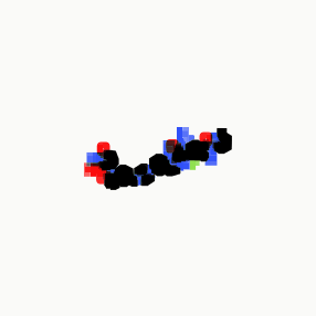 Cc1cccc(NC(=O)c2ccc(-c3nn4c(c3C(N)=O)Nc3ccc(N5CCN(Cc6ccc7c(c6)C(C)(C)C(=O)N7C6CCC(=O)NC6O)CC5)cc3CC4)c(F)c2C)n1